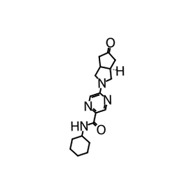 O=C1CC2CN(c3cnc(C(=O)NC4CCCCC4)cn3)C[C@@H]2C1